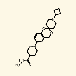 CNC(=O)C1CCN(c2ccc3c(c2)COC2(CCN(C4CCC4)CC2)O3)CC1